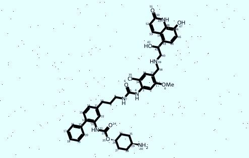 COc1cc(NC(=O)NCCCc2ccc(-c3ccccc3)c(NC(=O)O[C@H]3CC[C@H](N)CC3)c2)c(Cl)cc1CNCC(O)c1ccc(O)c2[nH]c(=O)ccc12